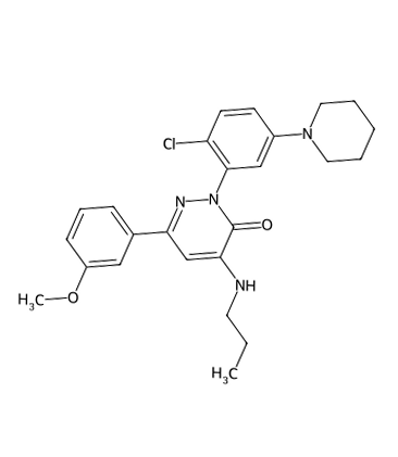 CCCNc1cc(-c2cccc(OC)c2)nn(-c2cc(N3CCCCC3)ccc2Cl)c1=O